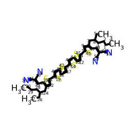 CCCCC(CC)Cc1cc(-c2cc3sc(-c4cc5sc(-c6cc(CC(CC)CCCC)c(C=C(C#N)C#N)s6)cc5s4)cc3s2)sc1C=C(C#N)C#N